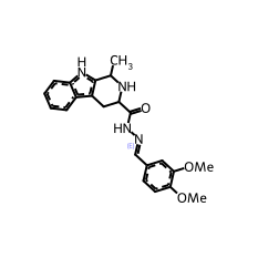 COc1ccc(/C=N/NC(=O)C2Cc3c([nH]c4ccccc34)C(C)N2)cc1OC